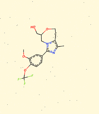 COc1cc(-c2nc(C)c3n2CC(CO)OCC3)ccc1OC(F)(F)F